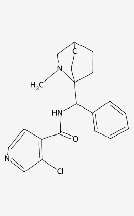 CN1CC2CCC1(C(NC(=O)c1ccncc1Cl)c1ccccc1)CC2